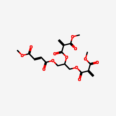 C=C(C(=O)OC)C(=O)OCC(COC(=O)C=CC(=O)OC)OC(=O)C(=C)C(=O)OC